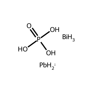 O=P(O)(O)O.[BiH3].[PbH2]